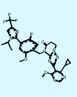 COc1cc(-c2nc(C(F)(F)F)cn2C(C)C)c(F)cc1CN1C(=O)CCn2nc(-c3c(OC)ncnc3C3CC3)nc21